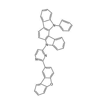 c1ccc(-n2c3ccccc3c3ccc4c(c5ccccc5n4-c4ccnc(-c5ccc6oc7ccccc7c6c5)n4)c32)cc1